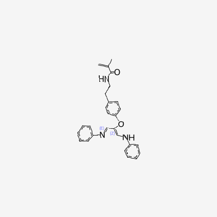 C=C(C)C(=O)NCCc1ccc(OC(=C\Nc2ccccc2)/C=N/c2ccccc2)cc1